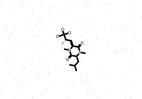 CC(C)CC1C(=O)N(C)/C(=C\[C@H](C)C(Cl)(Cl)Cl)C(=O)N1C